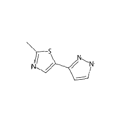 Cc1ncc(C2=N[N]C=C2)s1